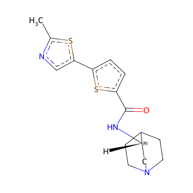 Cc1ncc(-c2ccc(C(=O)N[C@H]3CN4CCC3CC4)s2)s1